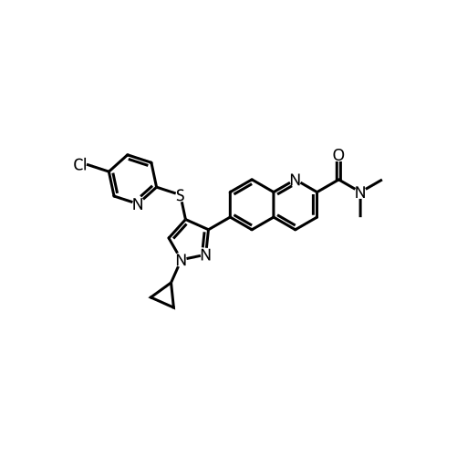 CN(C)C(=O)c1ccc2cc(-c3nn(C4CC4)cc3Sc3ccc(Cl)cn3)ccc2n1